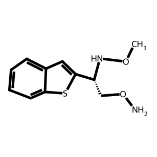 CON[C@H](CON)c1cc2ccccc2s1